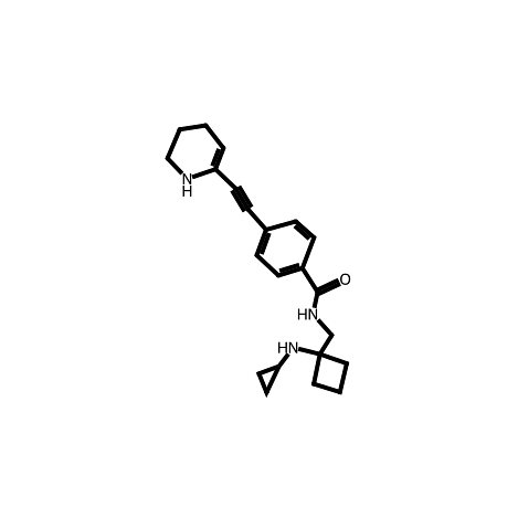 O=C(NCC1(NC2CC2)CCC1)c1ccc(C#CC2=CCCCN2)cc1